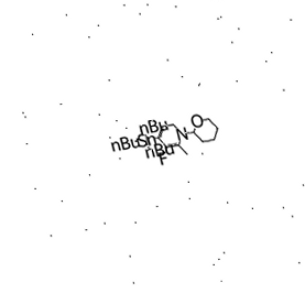 CCC[CH2][Sn]([CH2]CCC)([CH2]CCC)[C]1=CCN(C2CCCCO2)C(C)=C1F